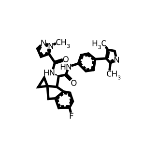 CC1=NCC(C)=C1c1ccc(NC(=O)[C@@H](NC(=O)c2ccnn2C)C2c3ccc(F)cc3CC23CC3)cc1